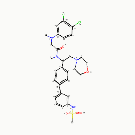 CN(CC(=O)N(C)C(CN1CCOCC1)c1ccc(-c2cccc(NS(C)(=O)=O)c2)cc1)c1ccc(Cl)c(Cl)c1